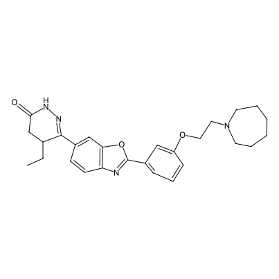 CCC1CC(=O)NN=C1c1ccc2nc(-c3cccc(OCCN4CCCCCC4)c3)oc2c1